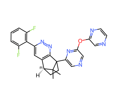 CC1(C)[C@H]2CCC1(c1cncc(Oc3cnccn3)n1)c1nnc(-c3c(F)cccc3F)cc12